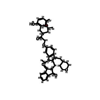 CCn1c(CN2C(=O)c3ccccc3C2=O)[n+](CC2CCOCC2)c2ccc(OCC(=O)N(Cc3nc(C)ccc3O)C[C@H](C)O)cc21